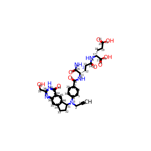 C#CCN(c1ccc(C(=O)N[C@@H](CCC(=O)N[C@H](CCC(=O)O)C(=O)O)C(N)=O)cc1)C1CCc2cc3nc(CO)[nH]c(=O)c3cc21